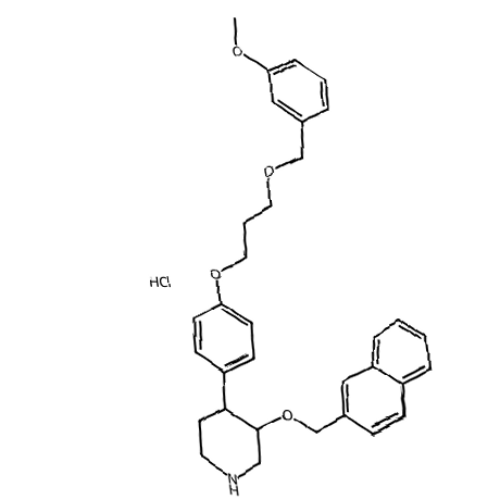 COc1cccc(COCCCOc2ccc(C3CCNCC3OCc3ccc4ccccc4c3)cc2)c1.Cl